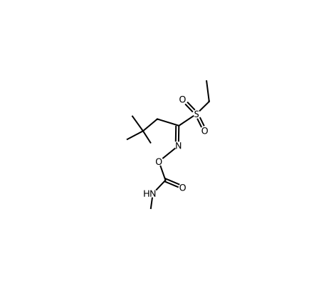 CCS(=O)(=O)C(CC(C)(C)C)=NOC(=O)NC